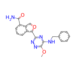 COc1nnc(-c2occ3c(C(N)=O)cccc23)nc1NCc1ccccc1